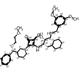 COCCO[C@@H](c1ccccc1)C1CCCN(c2c(N[C@@H](CC3CCCCC3)[C@H](O)CNCc3cc(OC)cc(OC)c3)c(=O)c2=O)C1